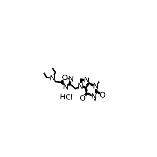 CCN(CC)Cc1nc(Cn2cnc3c2c(=O)n(C)c(=O)n3C)no1.Cl